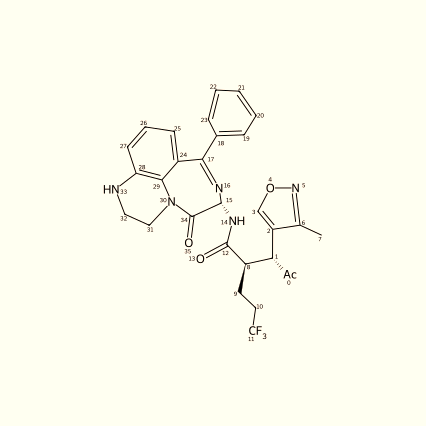 CC(=O)[C@@H](c1conc1C)[C@@H](CCC(F)(F)F)C(=O)N[C@H]1N=C(c2ccccc2)c2cccc3c2N(CCN3)C1=O